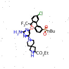 CCCCS(=O)(=O)c1cccc(-c2cc(Cl)ccc2[C@@H](Oc2cc(N3CCC4(CC3)CN[C@H](C(=O)OCC)C4)nc(N)n2)C(F)(F)F)c1